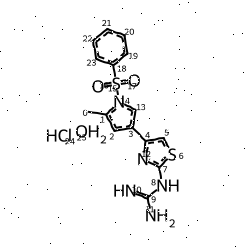 Cc1cc(-c2csc(NC(=N)N)n2)cn1S(=O)(=O)c1ccccc1.Cl.O